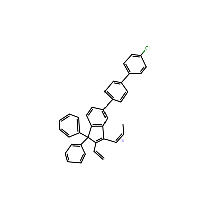 C=CC1=C(/C=C\C)c2cc(-c3ccc(-c4ccc(Cl)cc4)cc3)ccc2C1(c1ccccc1)c1ccccc1